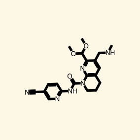 CNCc1cc2c(nc1C(OC)OC)N(C(=O)Nc1ccc(C#N)cn1)CCC2